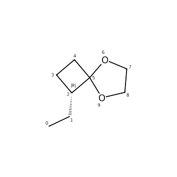 CC[C@@H]1CCC12OCCO2